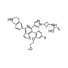 C=CC(O)NC1CC(n2cc(-c3nc(-c4ccc5c(c4)CCNC5)c4ccsc4c3-c3ccc(F)cc3OCCOC)cn2)C1